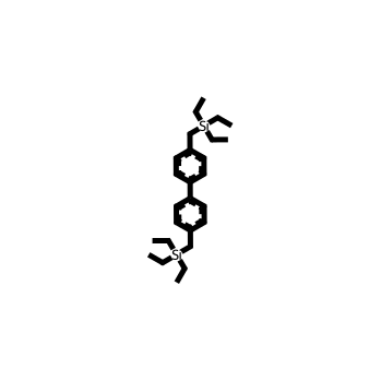 CC[Si](CC)(CC)Cc1ccc(-c2ccc(C[Si](CC)(CC)CC)cc2)cc1